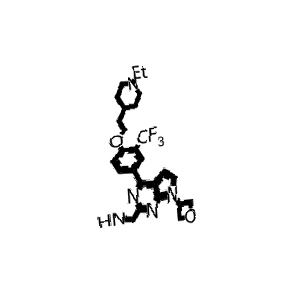 CCN1CCC(CCOc2ccc(-c3nc(C=N)nc4c3ccn4C3COC3)cc2C(F)(F)F)CC1